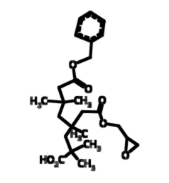 CC(C)(CC(=O)OCc1ccccc1)CC(C)(CC(=O)OCC1CO1)CC(C)(C)C(=O)O